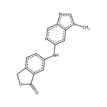 Cn1cnc2cnc(Nc3ccc4c(c3)C(=O)OC4)cc21